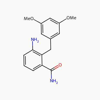 COc1cc(Cc2c(N)cccc2C(N)=O)cc(OC)c1